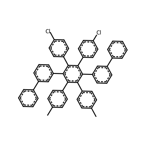 Cc1ccc(-c2c(-c3ccc(C)cc3)c(-c3cccc(-c4ccccc4)c3)c(-c3ccc(Cl)cc3)c(-c3ccc(Cl)cc3)c2-c2cccc(-c3ccccc3)c2)cc1